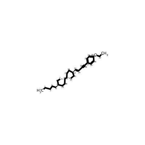 CCCCC[C@H]1CC[C@H]([C@H]2CC[C@H](C=CC#Cc3ccc(OCC)cc3)CC2)CC1